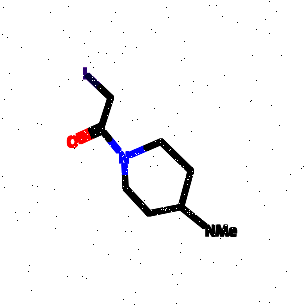 CNC1CCN(C(=O)CI)CC1